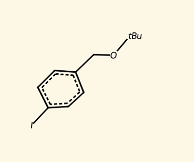 CC(C)(C)OCc1ccc(I)cc1